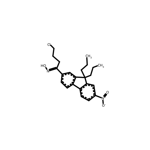 CCCC1(CCC)c2cc(/C(CCCCl)=N/O)ccc2-c2ccc([N+](=O)[O-])cc21